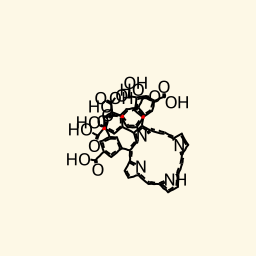 O=C(O)c1cc(C(=O)O)cc(-c2c(-c3cc(C(=O)O)cc(C(=O)O)c3)c3c(-c4cc(C(=O)O)cc(C(=O)O)c4)c4nc(cc5ccc(cc6nc(cc2n3-c2cc(C(=O)O)cc(C(=O)O)c2)C=C6)[nH]5)C=C4)c1